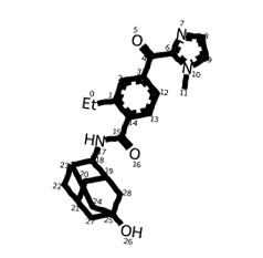 CCc1cc(C(=O)c2nccn2C)ccc1C(=O)NC1C2CC3CC1CC(O)(C3)C2